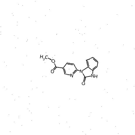 COC(=O)c1ccc(-n2c(=O)[nH]c3ccccc32)nc1